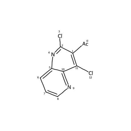 CC(=O)c1c(Cl)nc2cccnc2c1Cl